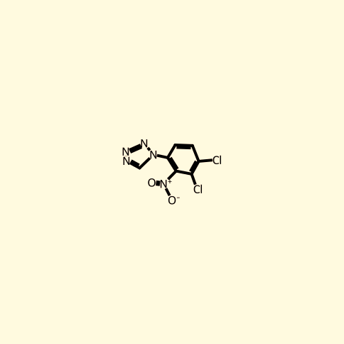 O=[N+]([O-])c1c(-n2cnnn2)ccc(Cl)c1Cl